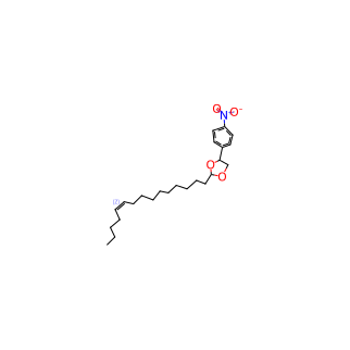 CCCC/C=C\CCCCCCCCCC1OCC(c2ccc([N+](=O)[O-])cc2)O1